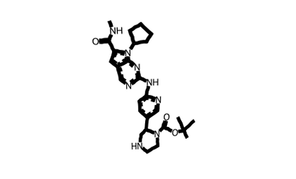 CNC(=O)c1cc2cnc(Nc3ccc(C4CNCCN4C(=O)OC(C)(C)C)cn3)nc2n1C1CCCC1